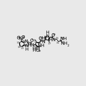 Cc1c(NC(=O)c2nc3c([N+](=O)[O-])cccc3[nH]2)c[nH]c1C(=O)Nc1c[nH]c(C(=O)NCCC(=N)N)c1C.Cl.Cl